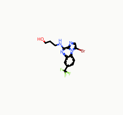 OCCCNc1nc2cc(C(F)(F)F)ccc2n2c(Br)cnc12